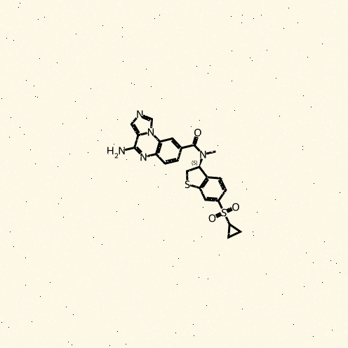 CN(C(=O)c1ccc2nc(N)c3cncn3c2c1)[C@@H]1CSc2cc(S(=O)(=O)C3CC3)ccc21